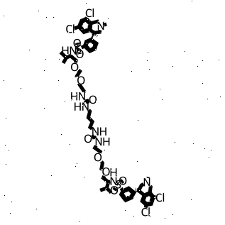 CC(C)C(COCCOCCNC(=O)NCCCCNC(=O)NCCOCCOCC(NS(=O)(=O)c1cccc([C@@H]2CN(C)Cc3c(Cl)cc(Cl)cc32)c1)C(C)C)NS(=O)(=O)c1cccc([C@@H]2CN(C)Cc3c(Cl)cc(Cl)cc32)c1